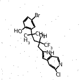 CC(C)(CC(O)(Cc1cc2cc(Cl)ncc2[nH]1)C(F)(F)F)c1cc(Br)ccc1O